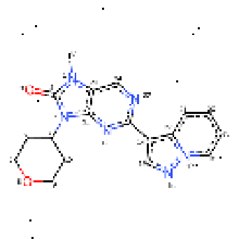 Cn1c(=O)n(C2CCOCC2)c2nc(-c3cnn4ccccc34)ncc21